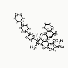 Cc1nc2c(cc(-c3nnc(N4CCN(C5CCOCC5)CC4)s3)n2C)c(-c2cc(F)c3c(c2C)CCCO3)c1[C@H](OC(C)(C)C)C(=O)O